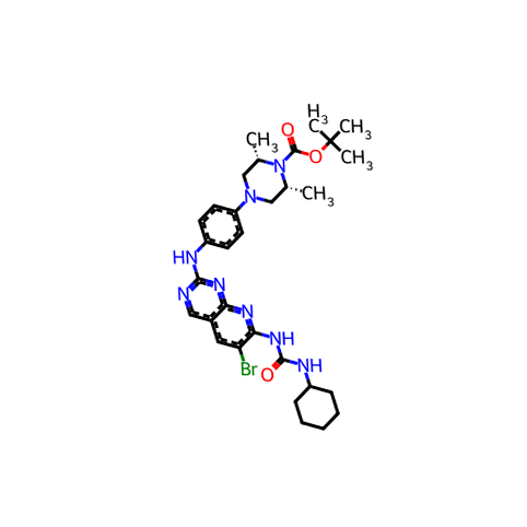 C[C@@H]1CN(c2ccc(Nc3ncc4cc(Br)c(NC(=O)NC5CCCCC5)nc4n3)cc2)C[C@H](C)N1C(=O)OC(C)(C)C